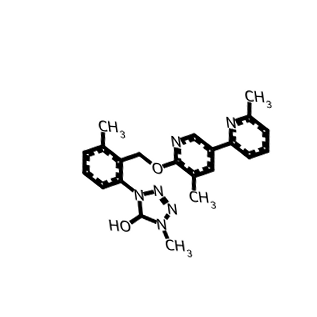 Cc1cccc(-c2cnc(OCc3c(C)cccc3N3N=NN(C)C3O)c(C)c2)n1